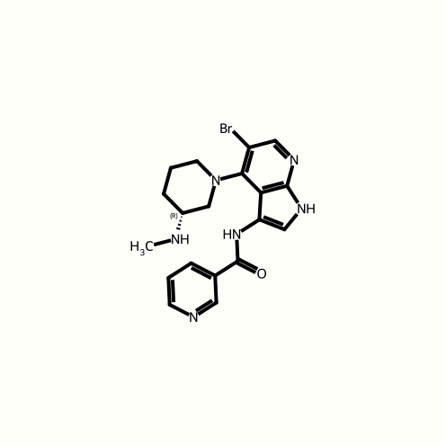 CN[C@@H]1CCCN(c2c(Br)cnc3[nH]cc(NC(=O)c4cccnc4)c23)C1